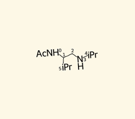 CC(=O)NC(CNC(C)C)C(C)C